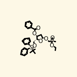 CCOP(C)(=O)CO[C@@H]1C[C@H](OC(=O)c2ccccc2)[C@@H](CO[Si](c2ccccc2)(c2ccccc2)C(C)(C)C)O1